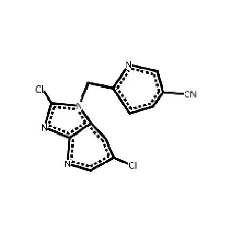 N#Cc1ccc(Cn2c(Cl)nc3ncc(Cl)cc32)nc1